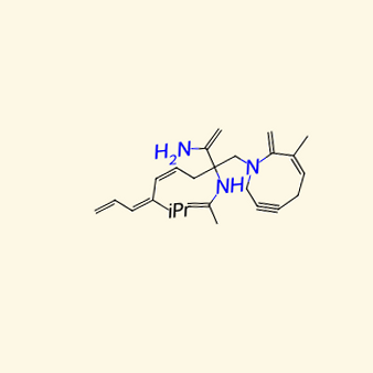 C=C/C=C(\C=C/CC(CN1CC#CC/C=C(/C)C1=C)(NC(=C)C)C(=C)N)C(C)C